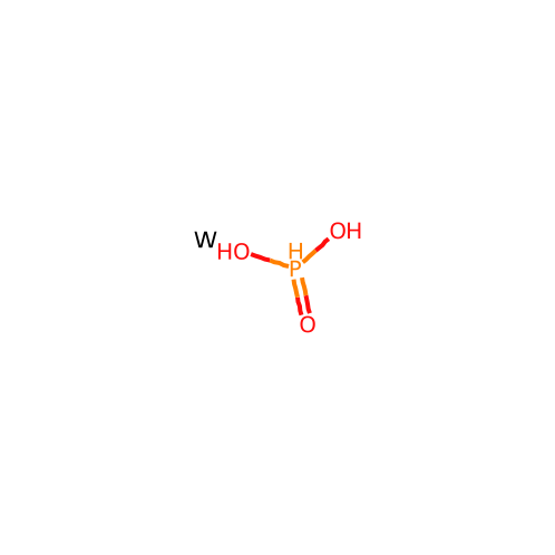 O=[PH](O)O.[W]